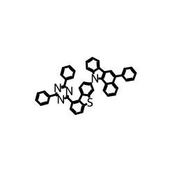 c1ccc(-c2nc(-c3ccccc3)nc(-c3cccc4sc5cc(-n6c7ccccc7c7cc(-c8ccccc8)c8ccccc8c76)ccc5c34)n2)cc1